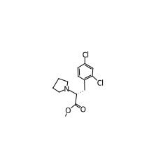 COC(=O)[C@@H](Cc1ccc(Cl)cc1Cl)N1CCCC1